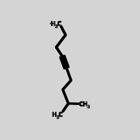 [CH2]CCC#CCC[C](C)C